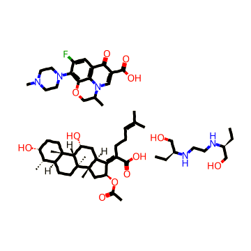 CC(=O)O[C@H]1C[C@@]2(C)[C@@H](C[C@@H](O)[C@H]3[C@@]4(C)CC[C@@H](O)[C@@H](C)[C@@H]4CC[C@@]32C)/C1=C(\CCC=C(C)C)C(=O)O.CC1COc2c(N3CCN(C)CC3)c(F)cc3c(=O)c(C(=O)O)cn1c23.CC[C@@H](CO)NCCN[C@@H](CC)CO